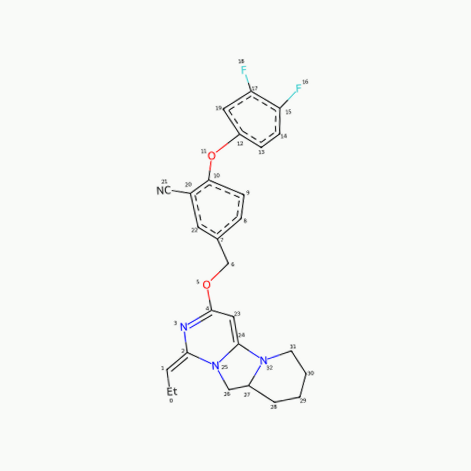 CC/C=C1/N=C(OCc2ccc(Oc3ccc(F)c(F)c3)c(C#N)c2)C=C2N1CC1CCCCN21